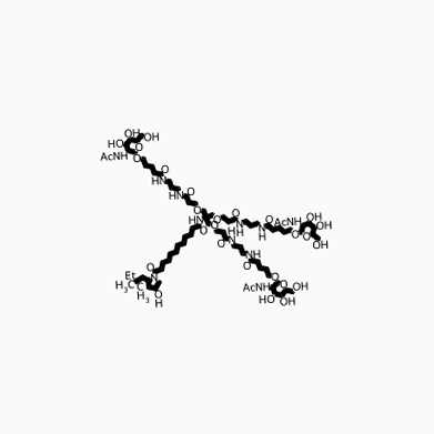 CCC(C)(C)CC1C[C@@H](O)CN1C(=O)CCCCCCCCCCC(=O)NC(COCCC(=O)NCCCNC(=O)CCCCOC1OC(CO)C(O)C(O)C1NC(C)=O)(COCCC(=O)NCCCNC(=O)CCCCOC1OC(CO)C(O)C(O)C1NC(C)=O)COCCC(=O)NCCCNC(=O)CCCCOC1OC(CO)C(O)C(O)C1NC(C)=O